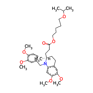 COc1ccc(CN2c3cc(OC)c(OC)cc3CC[C@]2(C)CCC(=O)OCCCCCOC(C)C)cc1OC